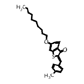 CCCCCCCCCCOc1ccc2c(c1)SC(=Cc1ccc(C)cc1)C2=O